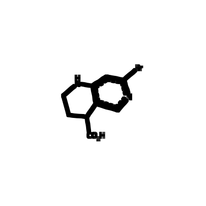 O=C(O)C1CCNc2cc(Br)ncc21